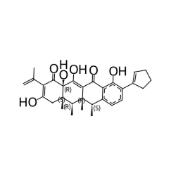 C=C(C)C1=C(O)C[C@@]2(C)[C@H](C)[C@]3(C)C(=C(O)[C@@]2(O)C1=O)C(=O)c1c(ccc(C2=CCCC2)c1O)[C@H]3C